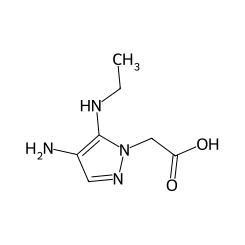 CCNc1c(N)cnn1CC(=O)O